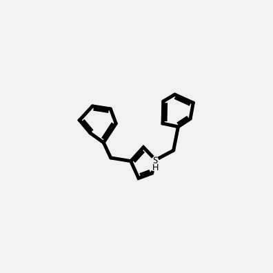 C1=C[SH](Cc2ccccc2)C=C1Cc1ccccc1